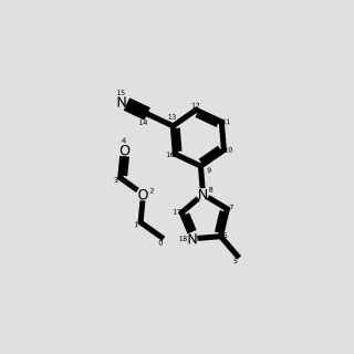 CCOC=O.Cc1cn(-c2cccc(C#N)c2)cn1